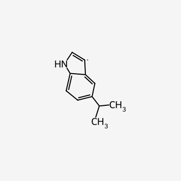 CC(C)c1ccc2[nH]c[c]c2c1